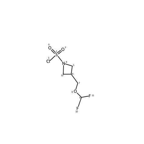 O=S(=O)(Cl)N1CC(COC(F)F)C1